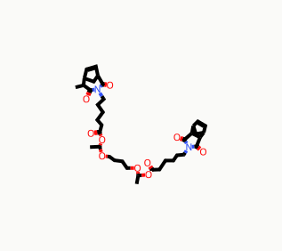 CC(OCCCCOC(C)OC(=O)CCCCCN1C(=O)C2C3C=CC(C3)C2C1=O)OC(=O)CCCCCN1C(=O)C2C=CC(C2)C(C)C1=O